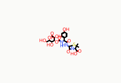 CC1(C)SC2C(NC(=O)C(NC(=O)O[C@@H]([C@H](O)[C@H](O)CO)[C@@H](O)C=O)c3ccc(O)cc3)C(=O)N2C1C(=O)O